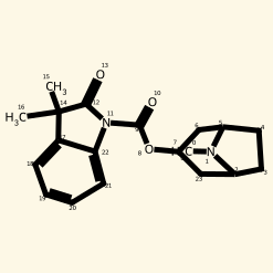 CN1C2CCC1CC(OC(=O)N1C(=O)C(C)(C)c3ccccc31)C2